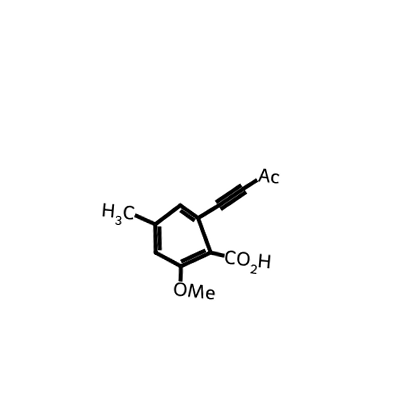 COc1cc(C)cc(C#CC(C)=O)c1C(=O)O